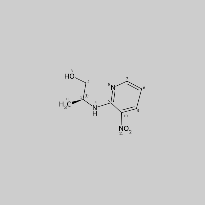 C[C@@H](CO)Nc1ncccc1[N+](=O)[O-]